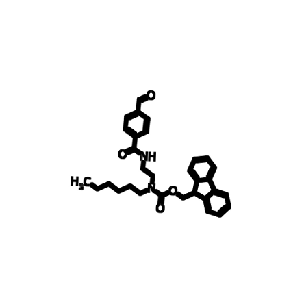 CCCCCCN(CCNC(=O)c1ccc(C=O)cc1)C(=O)OCC1c2ccccc2-c2ccccc21